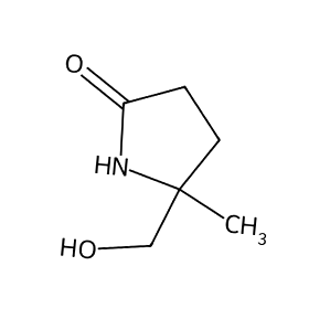 CC1(CO)CCC(=O)N1